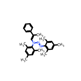 C/C(=C\N(/N=N/c1c(C)cc(C)cc1C)c1c(C)cc(C)cc1C)c1ccccc1